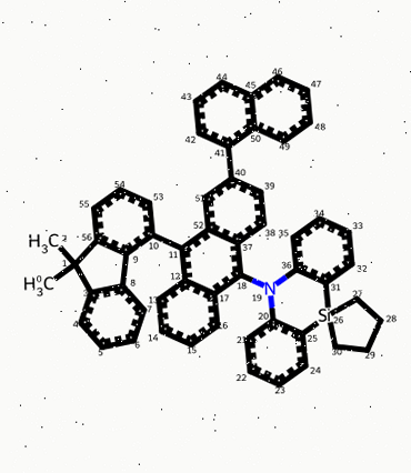 CC1(C)c2ccccc2-c2c(-c3c4ccccc4c(N4c5ccccc5[Si]5(CCCC5)c5ccccc54)c4ccc(-c5cccc6ccccc56)cc34)cccc21